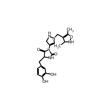 CC1=C(CN2C=C(N3C(=O)NC(Cc4ccc(O)c(O)c4)C3=O)CN2)C(C)NO1